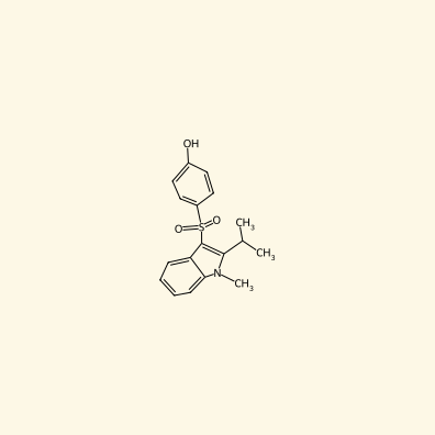 CC(C)c1c(S(=O)(=O)c2ccc(O)cc2)c2ccccc2n1C